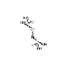 C[N+](C)(C/C=C/CC(CO)N(CCO)CCO)C/C=C/C[N+](C)(C)C/C=C/CN(CCO)C(CO)CCO